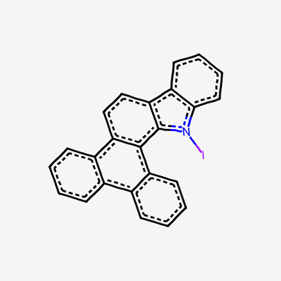 In1c2ccccc2c2ccc3c4ccccc4c4ccccc4c3c21